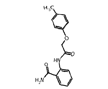 Cc1ccc(OCC(=O)Nc2ccccc2C(N)=O)cc1